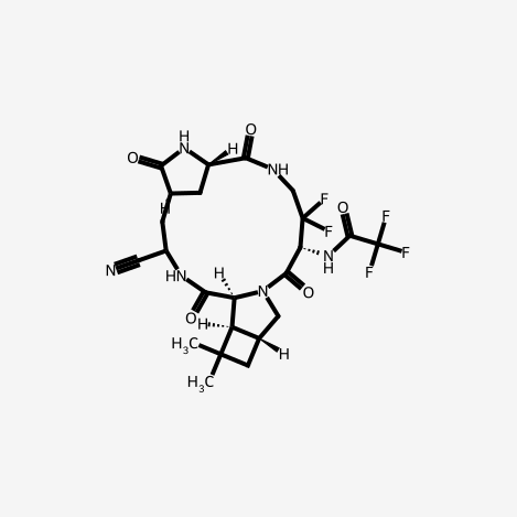 CC1(C)C[C@H]2CN3C(=O)[C@@H](NC(=O)C(F)(F)F)C(F)(F)CNC(=O)[C@@H]4C[C@@H](CC(C#N)NC(=O)[C@@H]3[C@@H]21)C(=O)N4